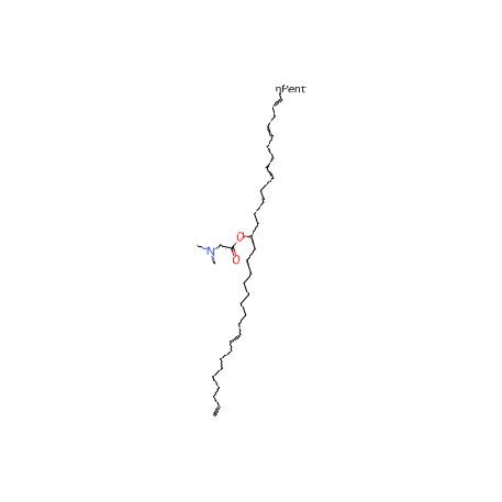 C=CCCCCCCC=CCCCCCCCCC(CCCCCCCCC=CCC=CCCCCC)OC(=O)CN(C)C